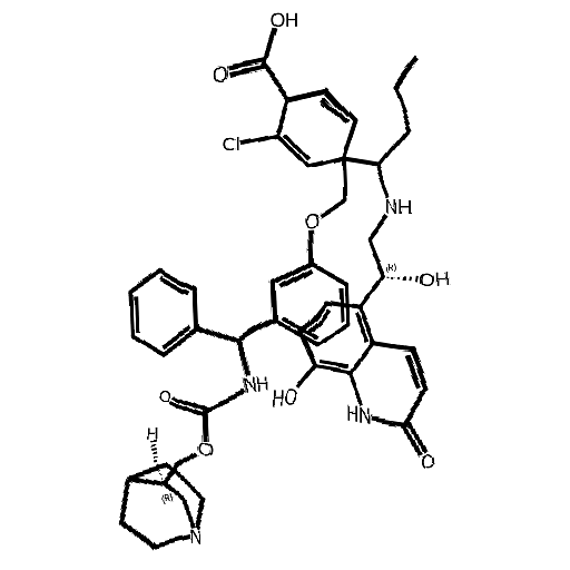 CCCC(NC[C@H](O)c1ccc(O)c2[nH]c(=O)ccc12)C1(COc2cccc(C(NC(=O)O[C@H]3CN4CCC3CC4)c3ccccc3)c2)C=CC(C(=O)O)C(Cl)=C1